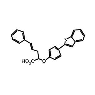 O=C(O)C(CC=Cc1ccccc1)Oc1ccc(-c2cc3ccccc3s2)cc1